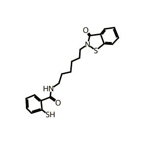 O=C(NCCCCCCn1sc2ccccc2c1=O)c1ccccc1S